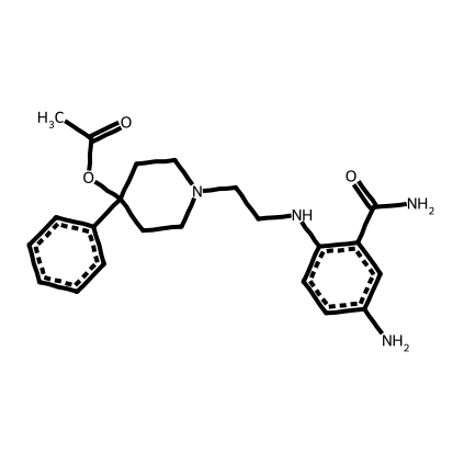 CC(=O)OC1(c2ccccc2)CCN(CCNc2ccc(N)cc2C(N)=O)CC1